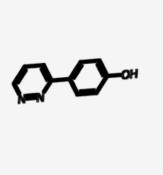 Oc1ccc(-c2cccnn2)cc1